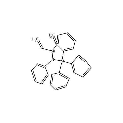 C=C[SiH](C=C)N(c1ccccc1)[Si](c1ccccc1)(c1ccccc1)c1ccccc1